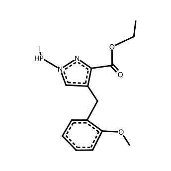 CCOC(=O)c1nn(PI)cc1Cc1ccccc1OC